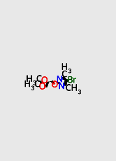 Cc1nc(OC[C@@H]2COC(C)(C)O2)nc(C)c1Br